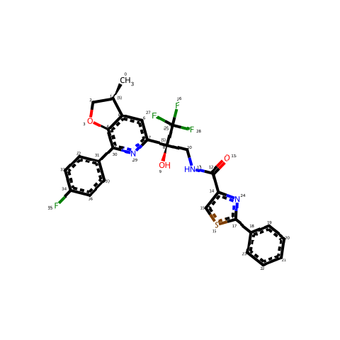 C[C@@H]1COc2c1cc([C@@](O)(CNC(=O)c1csc(-c3ccccc3)n1)C(F)(F)F)nc2-c1ccc(F)cc1